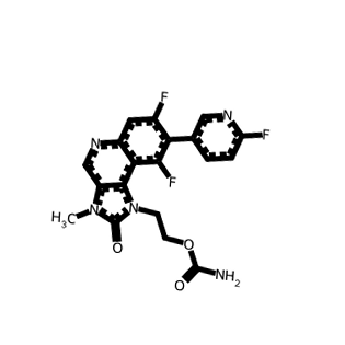 Cn1c(=O)n(CCOC(N)=O)c2c3c(F)c(-c4ccc(F)nc4)c(F)cc3ncc21